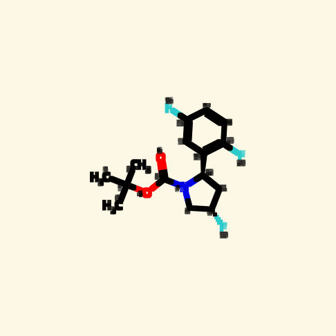 CC(C)(C)OC(=O)N1C[C@@H](F)C[C@@H]1c1cc(F)ccc1F